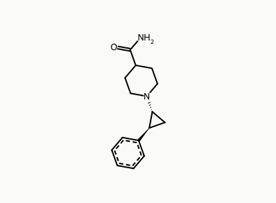 NC(=O)C1CCN([C@@H]2C[C@H]2c2ccccc2)CC1